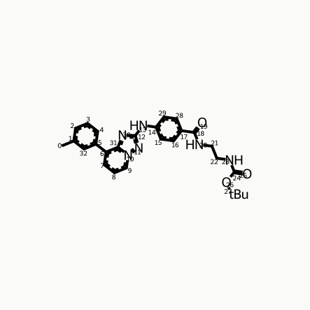 Cc1cccc(-c2cccn3nc(Nc4ccc(C(=O)NCCNC(=O)OC(C)(C)C)cc4)nc23)c1